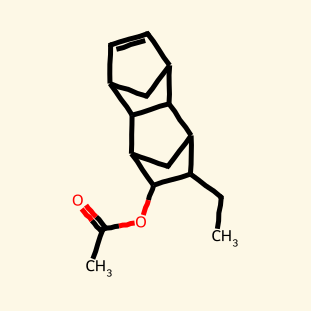 CCC1C2CC(C1OC(C)=O)C1C3C=CC(C3)C21